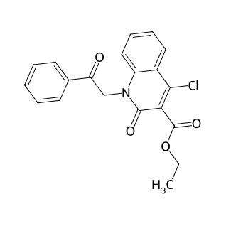 CCOC(=O)c1c(Cl)c2ccccc2n(CC(=O)c2ccccc2)c1=O